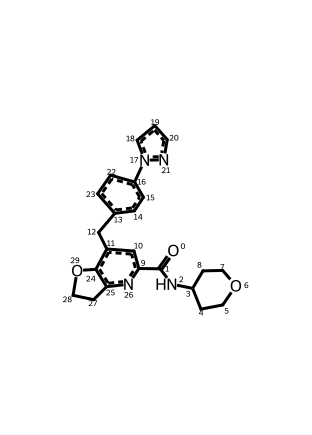 O=C(NC1CCOCC1)c1cc(Cc2ccc(-n3cccn3)cc2)c2c(n1)CCO2